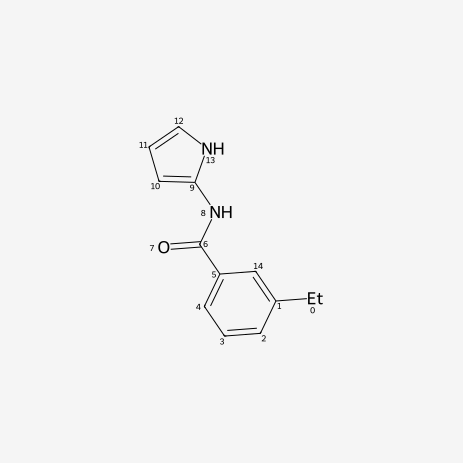 CCc1cccc(C(=O)Nc2ccc[nH]2)c1